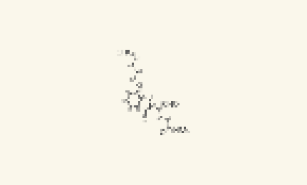 CNC(=O)CCC(C=O)N1Cc2c(OCCCCC=O)cccc2C1=O